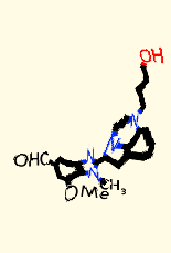 COc1cc(C=O)cc2nc(-c3cc4cccc5c4n3CCN5CCCCO)n(C)c12